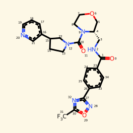 O=C(NC[C@H]1COCCN1C(=O)N1CCC(c2cccnc2)C1)c1ccc(-c2noc(C(F)(F)F)n2)cc1